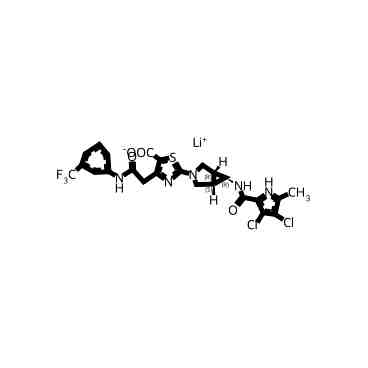 Cc1[nH]c(C(=O)N[C@@H]2[C@@H]3CN(c4nc(CC(=O)Nc5cccc(C(F)(F)F)c5)c(C(=O)[O-])s4)C[C@@H]32)c(Cl)c1Cl.[Li+]